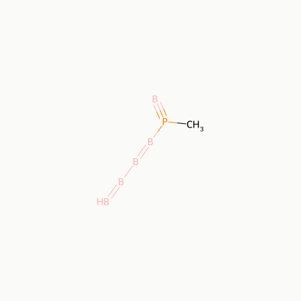 B#P(C)B=BB=B